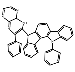 C1=NC2=NC(c3ccccc3)=C(n3c4ccccc4c4c3ccc3c5ccccc5n(-c5ccccc5)c34)NC2N=C1